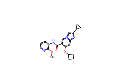 COc1ncccc1NC(=O)c1cn2cc(C3CC3)nc2cc1OC1CCC1